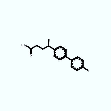 CC(CCC(N)=O)c1ccc(-c2ccc(F)cc2)cc1